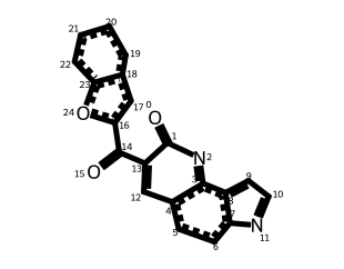 O=C1N=c2c(ccc3c2=CC=N3)C=C1C(=O)c1cc2ccccc2o1